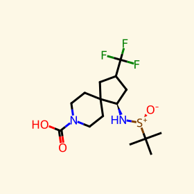 CC(C)(C)[S@@+]([O-])N[C@@H]1CC(C(F)(F)F)CC12CCN(C(=O)O)CC2